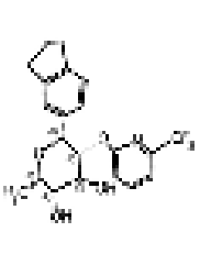 C[C@H]1O[C@H](c2ccc3c(c2)CCC3)[C@H](Oc2cccc(C(F)(F)F)n2)[C@@H](O)[C@H]1O